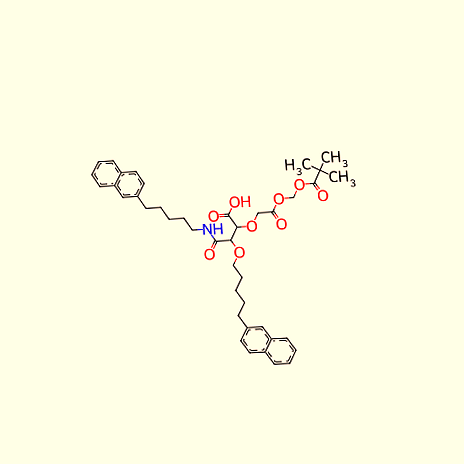 CC(C)(C)C(=O)OCOC(=O)COC(C(=O)O)C(OCCCCCc1ccc2ccccc2c1)C(=O)NCCCCCc1ccc2ccccc2c1